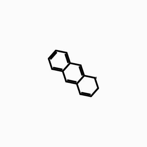 [C]1CC=Cc2cc3ccccc3cc21